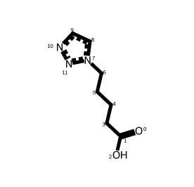 O=C(O)CCCCn1c[c]nn1